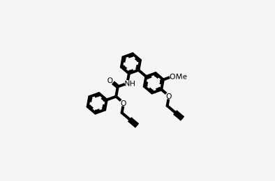 C#CCOc1ccc(-c2ccccc2NC(=O)C(OCC#C)c2ccccc2)cc1OC